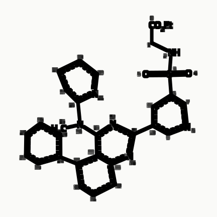 CCOC(=O)CNS(=O)(=O)c1cncc(-c2nc(N(C)c3ccccn3)c3c(-c4ccccc4)cccc3n2)c1